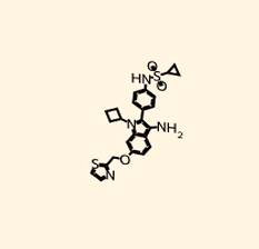 Nc1c(-c2ccc(NS(=O)(=O)C3CC3)cc2)n(C2CCC2)c2cc(OCc3nccs3)ccc12